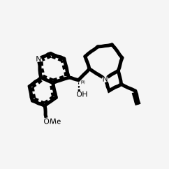 C=CC1CN2C1CCCCC2[C@H](O)c1ccnc2ccc(OC)cc12